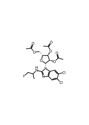 CC(=O)OC[C@H]1O[C@@H](n2c(NC(C)CF)nc3cc(Cl)c(Cl)cc32)[C@H](OC(C)=O)[C@@H]1OC(C)=O